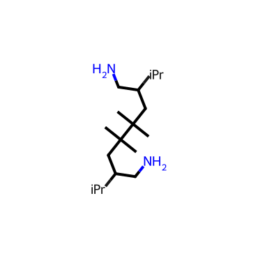 CC(C)C(CN)CC(C)(C)C(C)(C)CC(CN)C(C)C